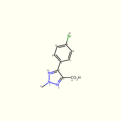 Cn1nc(C(=O)O)c(-c2ccc(Br)cc2)n1